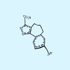 CCCc1ccc2c(c1)CCCc1c(C(=O)O)noc1-2